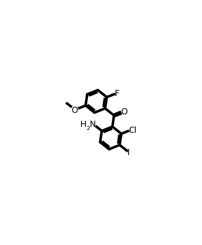 COc1ccc(F)c(C(=O)c2c(N)ccc(I)c2Cl)c1